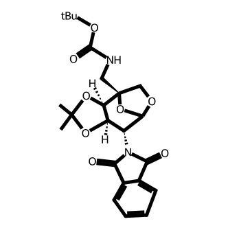 CC(C)(C)OC(=O)NC[C@@]12COC(O1)[C@H](N1C(=O)c3ccccc3C1=O)[C@H]1OC(C)(C)O[C@H]12